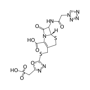 O=C(Cn1cnnn1)NC1C(=O)N2C(C(=O)O)=C(CSc3nnc(CS(=O)(=O)O)o3)CS[C@@H]12